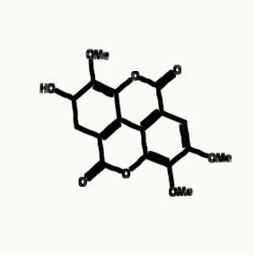 COC1=c2oc(=O)c3cc(OC)c(OC)c4oc(=O)c(c2c43)CC1O